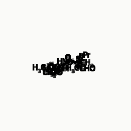 CCCSSC(CCOC(=O)NCCNS(=O)(=O)c1cccc2c(N(C)C)cccc12)=C(C)N(C)C=O